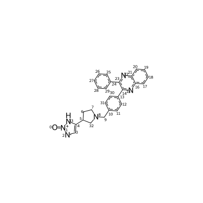 O=[N+]1[N]C=C(C2CCN(Cc3ccc(-c4nc5ccccc5nc4-c4ccccc4)cc3)C2)N1